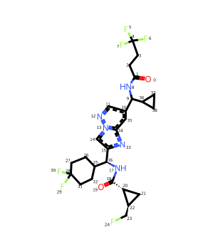 O=C(CCC(F)(F)F)NC(c1cnn2cc([C@@H](NC(=O)[C@@H]3C[C@H]3CF)C3CCC(F)(F)CC3)nc2c1)C1CC1